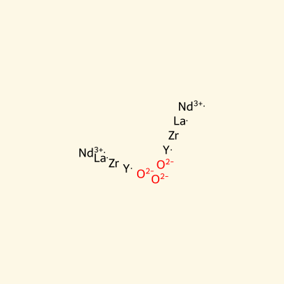 [La].[La].[Nd+3].[Nd+3].[O-2].[O-2].[O-2].[Y].[Y].[Zr].[Zr]